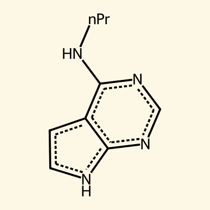 C[CH]CNc1ncnc2[nH]ccc12